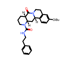 CC(C)COc1ccc2c(c1)CCN1C(=O)[C@H]3CCCN(C(=O)NCCc4ccccc4)[C@H]3C[C@@H]21